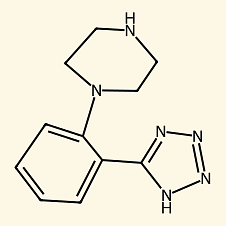 c1ccc(N2CCNCC2)c(-c2nnn[nH]2)c1